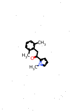 Cc1cccc(C)c1CC(=O)c1cccn1C